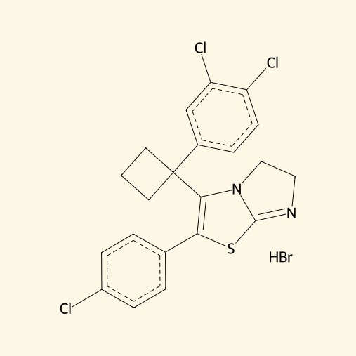 Br.Clc1ccc(C2=C(C3(c4ccc(Cl)c(Cl)c4)CCC3)N3CCN=C3S2)cc1